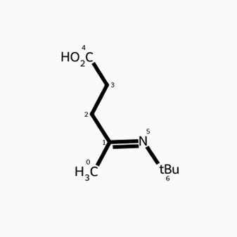 CC(CCC(=O)O)=NC(C)(C)C